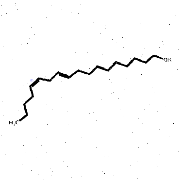 CCCC/C=C\CC=CCCCCCCCCCO